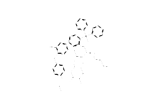 CCCCO[C@@H]1[C@@H](OCCCC)[C@H](c2ccc(Cl)c(Cc3ccc(OCC)cc3)c2)O[C@H](CC(c2ccccc2)(c2ccccc2)c2ccccc2)[C@H]1OCCCC